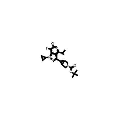 CC(C)c1nc(Cl)c(F)c2c1c(C1C3CN(C(=O)OC(C)(C)C)CC31)nn2C1CC1